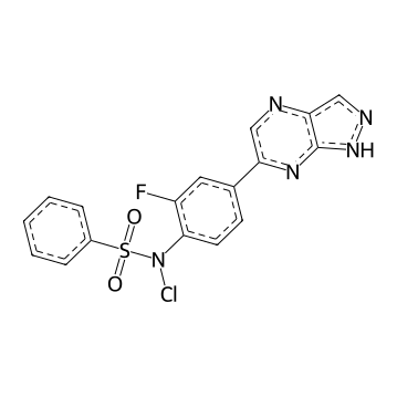 O=S(=O)(c1ccccc1)N(Cl)c1ccc(-c2cnc3cn[nH]c3n2)cc1F